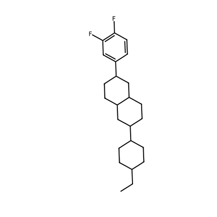 CCC1CCC(C2CCC3CC(c4ccc(F)c(F)c4)CCC3C2)CC1